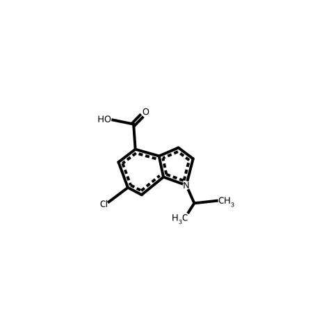 CC(C)n1ccc2c(C(=O)O)cc(Cl)cc21